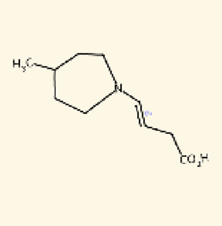 CC1CCN(/C=C/CC(=O)O)CC1